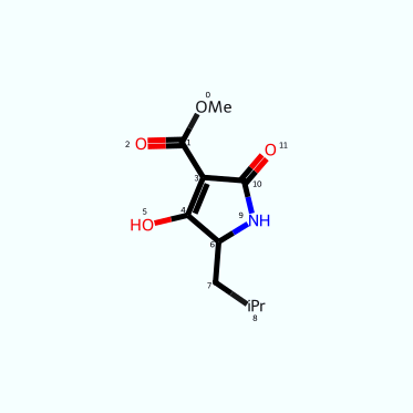 COC(=O)C1=C(O)C(CC(C)C)NC1=O